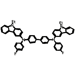 CCn1c2ccccc2c2cc(N(c3ccc(F)cc3)c3ccc(-c4ccc(N(c5ccc(F)cc5)c5ccc6c(c5)c5ccccc5n6CC)cc4)cc3)ccc21